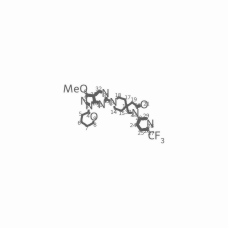 COc1nn(C2CCCCO2)c2nc(N3CCC4(CC3)CC(=O)N(c3ccc(C(F)(F)F)nc3)C4)ncc12